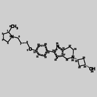 CC1CCCN1CCCOc1ccc(-c2nc3c(s2)CN([C@H]2C[C@@H](O)C2)CC3)cc1